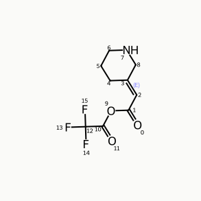 O=C(/C=C1\CCCNC1)OC(=O)C(F)(F)F